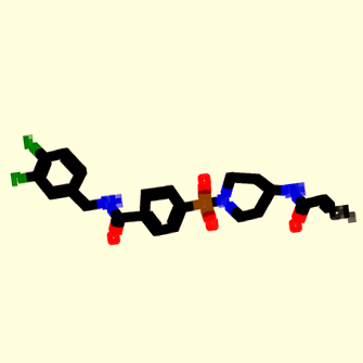 C=CC(=O)NC1CCN(S(=O)(=O)c2ccc(C(=O)NCc3ccc(F)c(F)c3)cc2)CC1